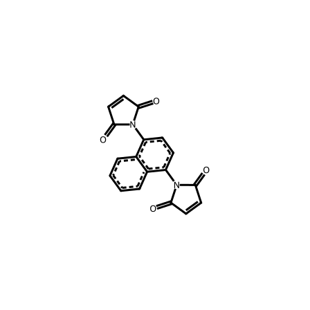 O=C1C=CC(=O)N1c1ccc(N2C(=O)C=CC2=O)c2ccccc12